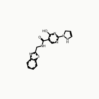 O=C(NCc1nc2ccccc2s1)c1cnc(N2CC=CN2)nc1O